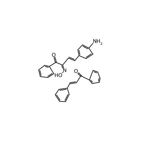 Nc1ccc(C=CC(=NO)C(=O)c2ccccc2)cc1.O=C(C=Cc1ccccc1)c1ccccc1